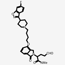 CNC(=O)C(CCC=O)N1Cc2c(OCCCCN3CCC(c4noc5cc(F)ccc45)CC3)cccc2C1=O